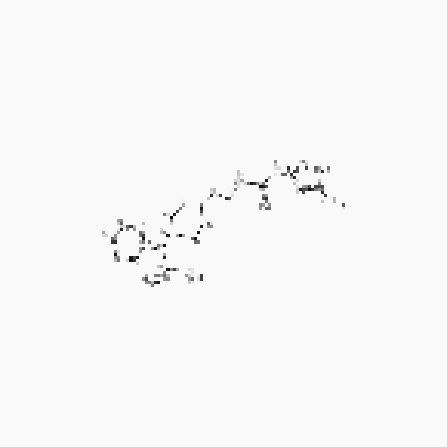 Cc1noc(OC(=O)NCCC2CCC(C(c3ccccc3)N(C)C)CC2)n1